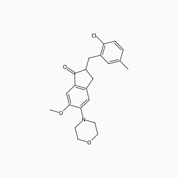 COc1cc2c(cc1N1CCOCC1)CC(Cc1cc(C)ccc1Cl)C2=O